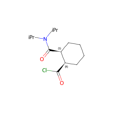 CC(C)N(C(=O)[C@H]1CCCC[C@H]1C(=O)Cl)C(C)C